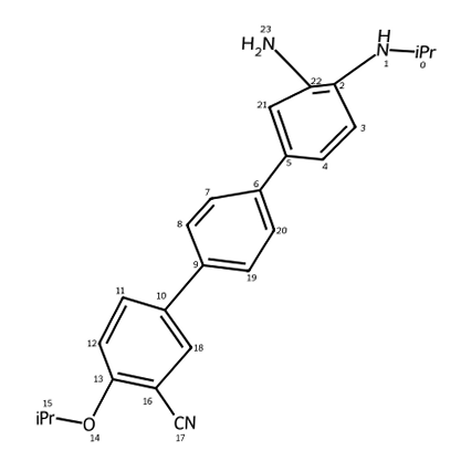 CC(C)Nc1ccc(-c2ccc(-c3ccc(OC(C)C)c(C#N)c3)cc2)cc1N